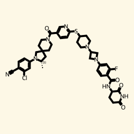 C[C@H]1CC2(CCN(C(=O)c3ccc(SC4CCN(C5CN(c6ccc(C(=O)NC7CCC(=O)NC7=O)c(F)c6)C5)CC4)nc3)CC2)CN1c1ccc(C#N)c(Cl)c1